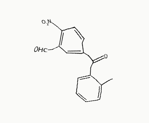 Cc1ccccc1C(=O)c1ccc([N+](=O)[O-])c(C=O)c1